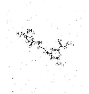 COC(=O)c1cc(C)nc(NCCNC(=O)OC(C)(C)C)n1